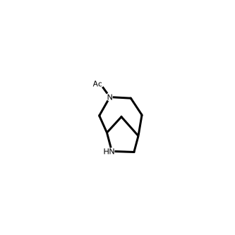 CC(=O)N1CCC2CNC(C2)C1